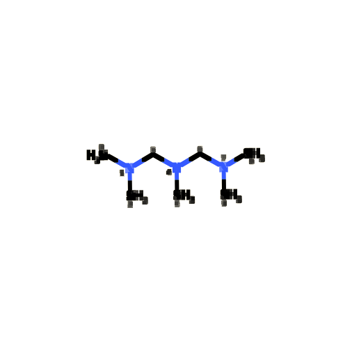 [SiH3]N([SiH3])CN([SiH3])CN([SiH3])[SiH3]